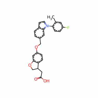 Cc1cc(F)ccc1-n1ccc2ccc(COc3ccc4c(c3)OCC4CC(=O)O)cc21